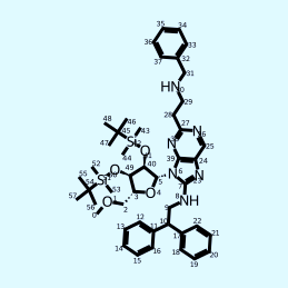 COC[C@H]1O[C@@H](n2c(NCC(c3ccccc3)c3ccccc3)nc3cnc(CCNCc4ccccc4)nc32)[C@H](O[Si](C)(C)C(C)(C)C)[C@@H]1O[Si](C)(C)C(C)(C)C